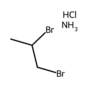 CC(Br)CBr.Cl.N